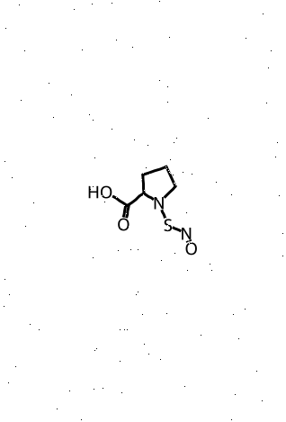 O=NSN1CCCC1C(=O)O